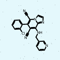 N#Cc1c(-c2ccccc2Cl)c(C#N)n2ccnc2c1NCc1cccnc1